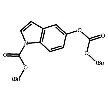 CC(C)(C)OC(=O)Oc1ccc2c(ccn2C(=O)OC(C)(C)C)c1